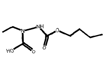 CCCCOC(=O)NN(CC)C(=O)O